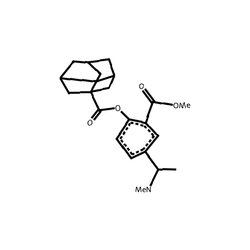 CNC(C)c1ccc(OC(=O)C23CC4CC(CC(C4)C2)C3)c(C(=O)OC)c1